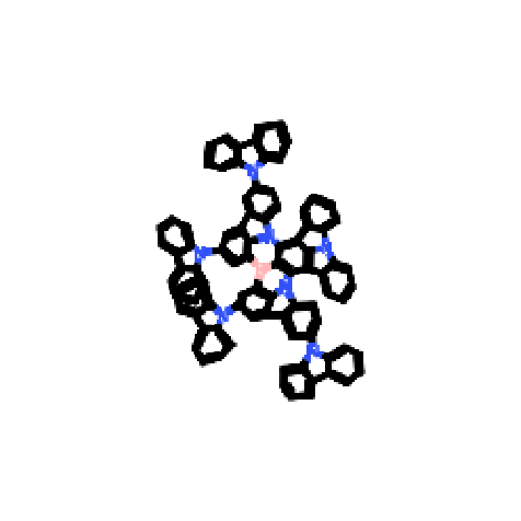 c1ccc2c(c1)c1ccccc1n2-c1ccc2c(c1)c1cc(-n3c4ccccc4c4ccccc43)cc3c1n2-c1c2c(c4c5ccccc5n5c6ccccc6c1c45)-n1c4ccc(-n5c6ccccc6c6ccccc65)cc4c4cc(-n5c6ccccc6c6ccccc65)cc(c41)B23